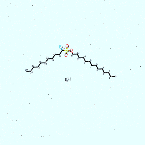 CCCCCCCCCCCCCCOS(=O)(=O)C(F)CCCCCCCCCC.[KH]